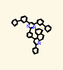 c1ccc(-c2cccc(-c3cc(-c4cccc(-c5ccccc5)c4)nc(-c4cccc(-c5cc(-c6ccccc6)nc6ccc7ccccc7c56)c4)n3)c2)cc1